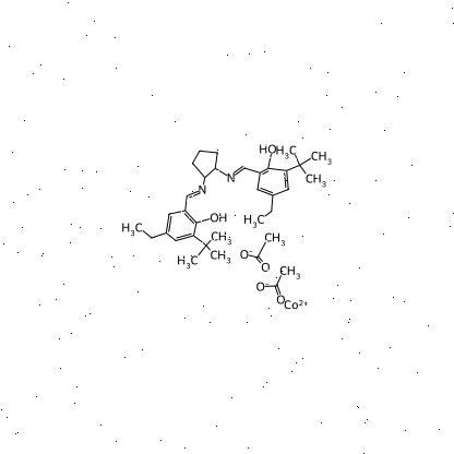 CC(=O)[O-].CC(=O)[O-].CCc1cc(C=NC2CCCC2N=Cc2cc(CC)cc(C(C)(C)C)c2O)c(O)c(C(C)(C)C)c1.[Co+2]